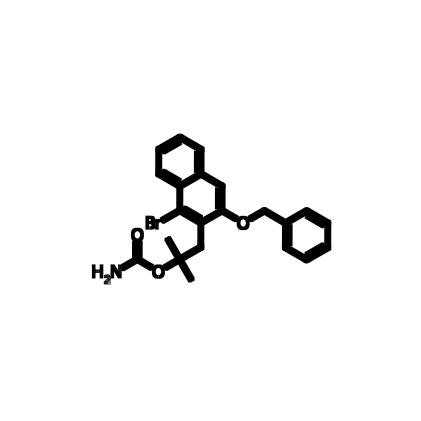 CC(C)(Cc1c(OCc2ccccc2)cc2ccccc2c1Br)OC(N)=O